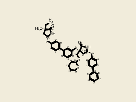 C[C@@]1(CO)C[C@@H](Cc2ccc(-c3cccc(C[C@@]4(COC5CCCCO5)C[C@@H](Cc5ccc(-c6ccccc6)cc5)NC4=O)c3)cc2)NC1=O